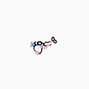 CCOC(=O)c1c(CCCOc2cccc3ccccc23)c2cccc3c2n1CCCCOCCc1c-3c(C)nn1C